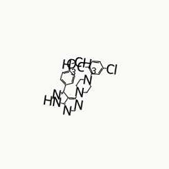 COc1ccc(-c2n[nH]c3ncnc(N4CCN(c5cc(Cl)ccc5C)CC4)c23)cc1